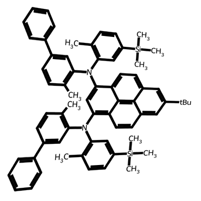 Cc1ccc(-c2ccccc2)cc1N(c1cc([Si](C)(C)C)ccc1C)c1cc(N(c2cc(-c3ccccc3)ccc2C)c2cc([Si](C)(C)C)ccc2C)c2ccc3cc(C(C)(C)C)cc4ccc1c2c43